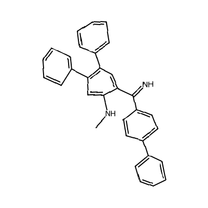 CNc1cc(-c2ccccc2)c(-c2ccccc2)cc1C(=N)c1ccc(-c2ccccc2)cc1